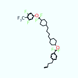 C=CCCc1ccc(C(F)(F)OC2CCC(CCCCC3CCC(C(F)(F)Oc4cc(F)c(C(F)(F)F)c(F)c4)CC3)CC2)cc1